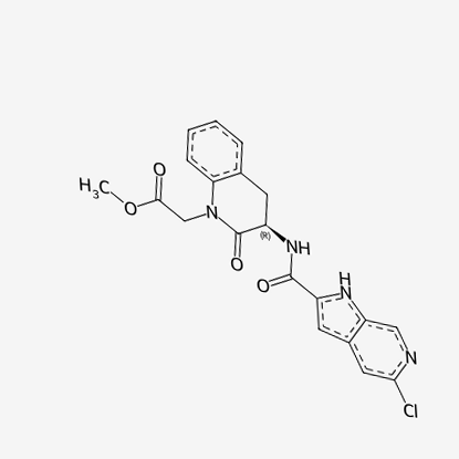 COC(=O)CN1C(=O)[C@H](NC(=O)c2cc3cc(Cl)ncc3[nH]2)Cc2ccccc21